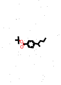 CCCC(C)c1ccc(C(=O)OC(C)(C)C)cc1